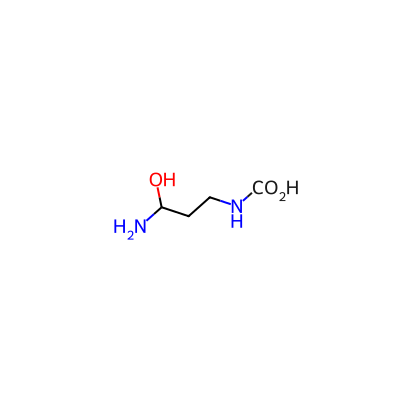 NC(O)CCNC(=O)O